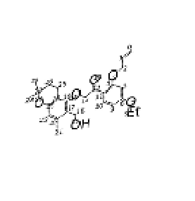 C=CCOc1cc(OCC)ccc1C(=O)COc1c(CO)c(C)cc2c1CCC(C)(C)O2